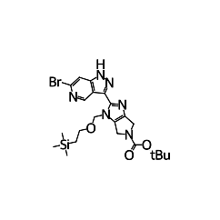 CC(C)(C)OC(=O)N1Cc2nc(-c3n[nH]c4cc(Br)ncc34)n(COCC[Si](C)(C)C)c2C1